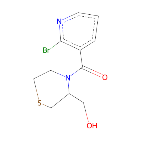 O=C(c1cccnc1Br)N1CCSCC1CO